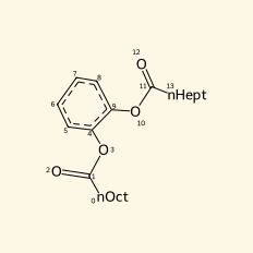 CCCCCCCCC(=O)Oc1ccccc1OC(=O)CCCCCCC